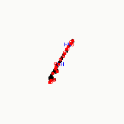 COc1ccc(CC[CH]c2cccc(OCC(=O)NCCOCCOCCOCCOCCNC(=O)OC(C)(C)C)c2)cc1OC